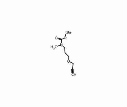 C#CCOCCCN(C)C(=O)OC(C)(C)C